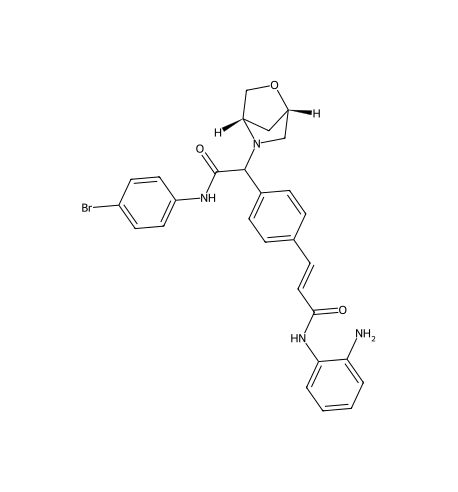 Nc1ccccc1NC(=O)/C=C/c1ccc(C(C(=O)Nc2ccc(Br)cc2)N2C[C@@H]3C[C@H]2CO3)cc1